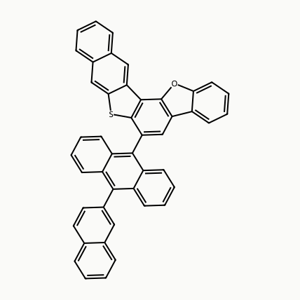 c1ccc2cc(-c3c4ccccc4c(-c4cc5c6ccccc6oc5c5c4sc4cc6ccccc6cc45)c4ccccc34)ccc2c1